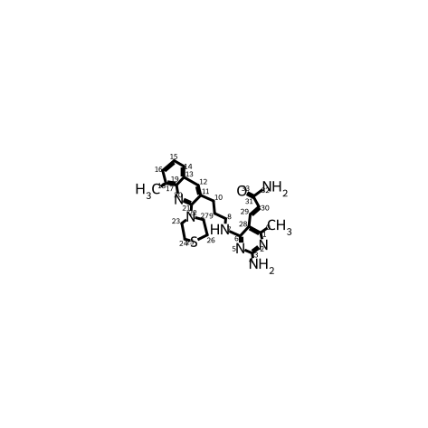 Cc1nc(N)nc(NCCCc2cc3cccc(C)c3nc2N2CCSCC2)c1/C=C/C(N)=O